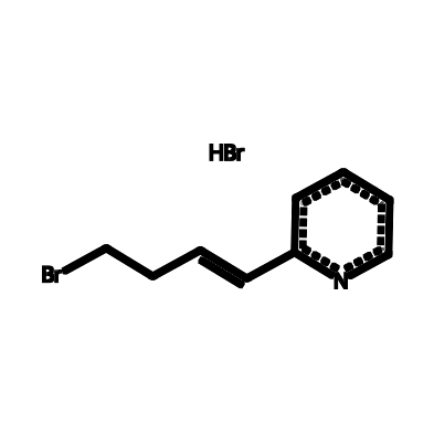 Br.BrCCC=Cc1ccccn1